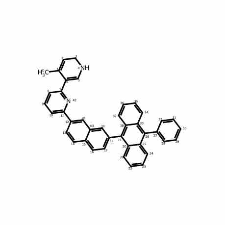 CC1=CCNC=C1c1cccc(-c2ccc3ccc(-c4c5ccccc5c(-c5ccccc5)c5ccccc45)cc3c2)n1